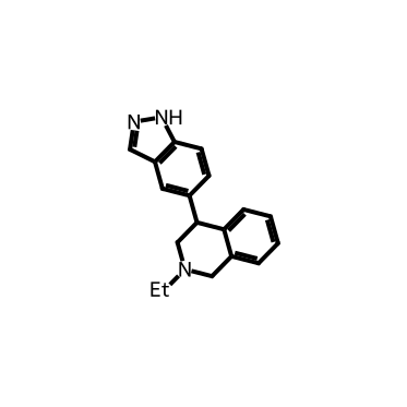 CCN1Cc2ccccc2C(c2ccc3[nH]ncc3c2)C1